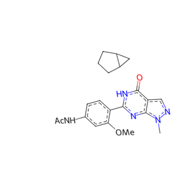 C1CC2CC2C1.COc1cc(NC(C)=O)ccc1-c1nc2c(cnn2C)c(=O)[nH]1